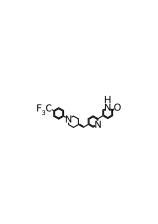 O=c1ccc(-c2ccc(C=C3CCN(c4ccc(C(F)(F)F)cc4)CC3)cn2)c[nH]1